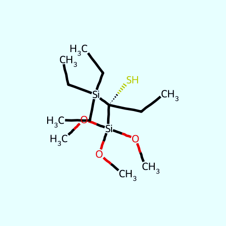 CC[C@](S)([Si](CC)(CC)CC)[Si](OC)(OC)OC